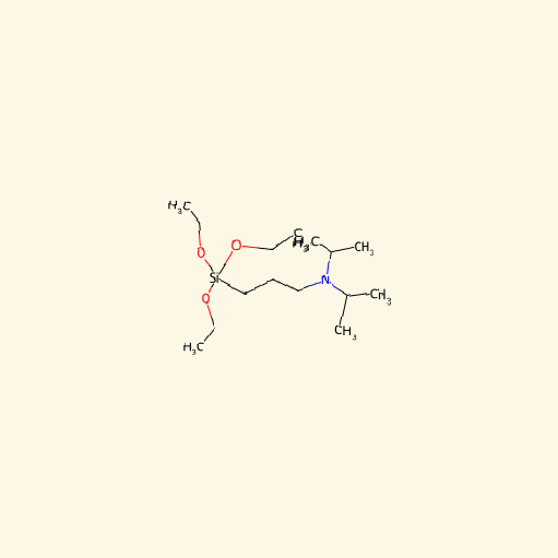 CCO[Si](CCCN(C(C)C)C(C)C)(OCC)OCC